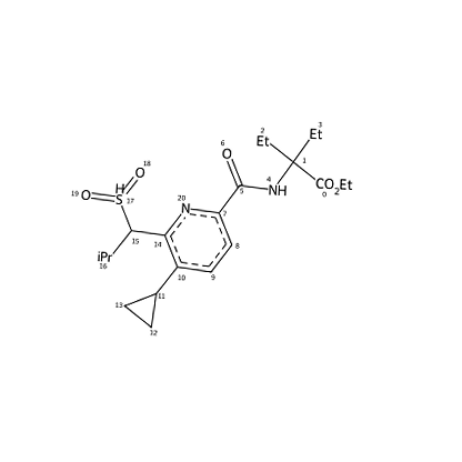 CCOC(=O)C(CC)(CC)NC(=O)c1ccc(C2CC2)c(C(C(C)C)[SH](=O)=O)n1